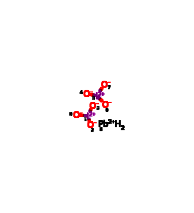 [O-][I+2]([O-])[O-].[O-][I+2]([O-])[O-].[PbH2+2]